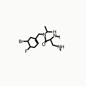 CNCC(NI)C(=O)N(CC1=CCC(F)C(Br)C1)C(C)C